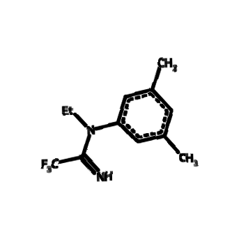 CCN(C(=N)C(F)(F)F)c1cc(C)cc(C)c1